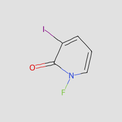 O=c1c(I)cccn1F